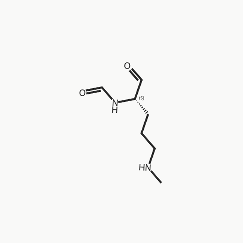 CNCCC[C@@H](C=O)NC=O